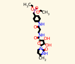 C=C1C=CN([C@@H]2O[C@H](C(=O)NCCC(=O)Nc3ccc(CP(=O)(OCC)OCC)cc3)[C@@H](O)[C@H]2O)C(=O)N1